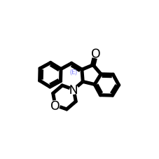 O=C1/C(=C/c2ccccc2)C(N2CCOCC2)c2ccccc21